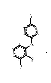 Clc1c[c]c(Oc2cccc(Cl)c2Cl)cc1